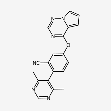 Cc1ncnc(C)c1-c1ccc(Oc2ncnn3cccc23)cc1C#N